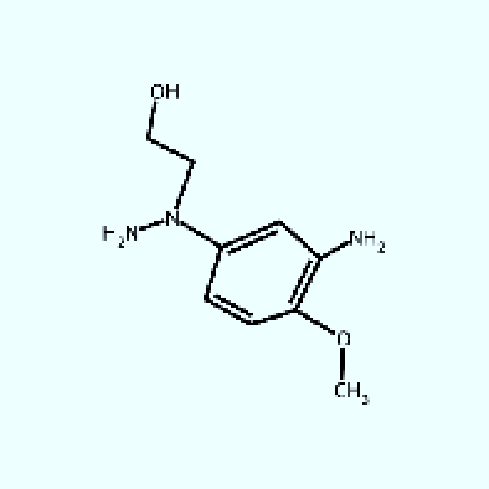 COc1ccc(N(N)CCO)cc1N